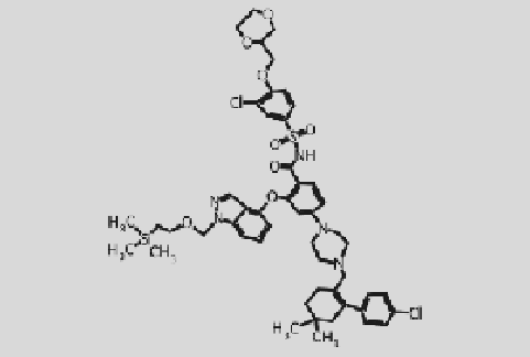 CC1(C)CCC(CN2CCN(c3ccc(C(=O)NS(=O)(=O)c4ccc(OCC5COCCO5)c(Cl)c4)c(Oc4cccc5c4cnn5COCC[Si](C)(C)C)c3)CC2)=C(c2ccc(Cl)cc2)C1